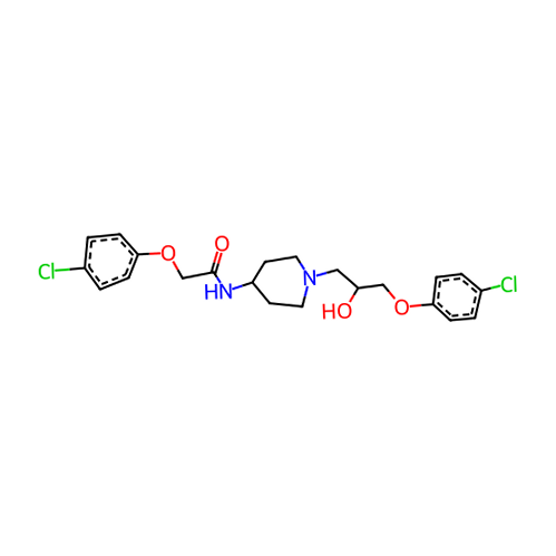 O=C(COc1ccc(Cl)cc1)NC1CCN(CC(O)COc2ccc(Cl)cc2)CC1